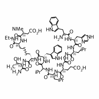 CCNC(=O)[C@H](CSSC[C@H](NC(=O)[C@H](Cc1c[nH]c2ccccc12)NC(=O)C(NC(=O)[C@H](CC(C)C)NC(=O)[C@H](CCC(=O)O)NC(=O)CNC(=O)[C@H](CC(C)C)NC(=O)[C@H](Cc1c[nH]cn1)NC(=O)[C@@H](N)Cc1c[nH]c2ccccc12)C(C)C)C(=O)N[C@H](C(N)=O)[C@H](C)O)NC(=O)[C@H](CC(=O)O)NC